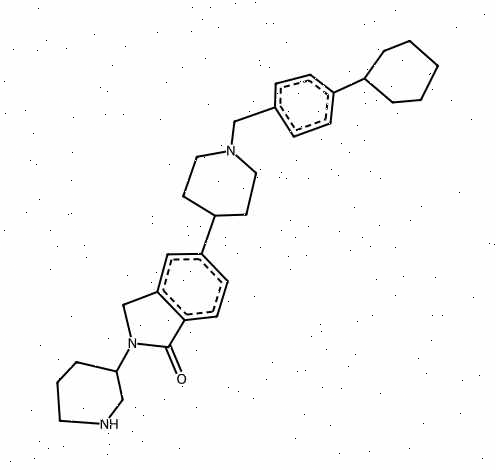 O=C1c2ccc(C3CCN(Cc4ccc(C5CCCCC5)cc4)CC3)cc2CN1C1CCCNC1